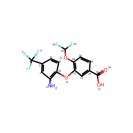 Nc1cc(C(F)(F)F)ccc1Oc1cc(C(=O)O)ccc1OC(F)F